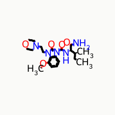 CC[C@H](C)[C@H](NC(=O)n1c(=O)n(CCN2CCOCC2)c2c(OC)cccc21)C(N)=O